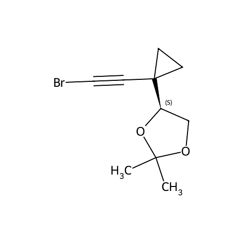 CC1(C)OC[C@H](C2(C#CBr)CC2)O1